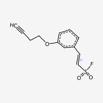 C#CCCOc1cccc(/C=C/S(=O)(=O)F)c1